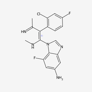 CN/C(=C(\C(C)=N)c1ccc(F)cc1Cl)n1cnc2cc(N)cc(F)c21